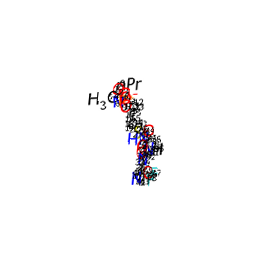 CCCOC(=O)[C@H](C)N=[P+]([O-])Oc1ccccc1Cc1ccc2sc(C(=O)N[C@H]3CCC[C@H]4CC[C@@H](C(=O)N5CC(c6cnccc6OC(F)F)C5)N4C3=O)cc2c1